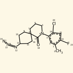 Cc1cc(N2CCCC3(CCC(N=[N+]=[N-])CC3)C2=O)c(Cl)cc1F